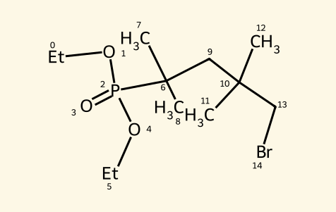 CCOP(=O)(OCC)C(C)(C)CC(C)(C)CBr